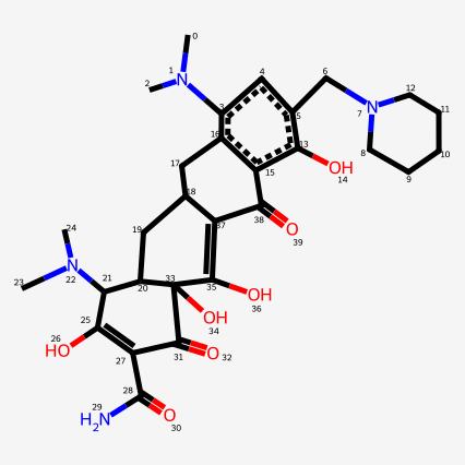 CN(C)c1cc(CN2CCCCC2)c(O)c2c1CC1CC3C(N(C)C)C(O)=C(C(N)=O)C(=O)C3(O)C(O)=C1C2=O